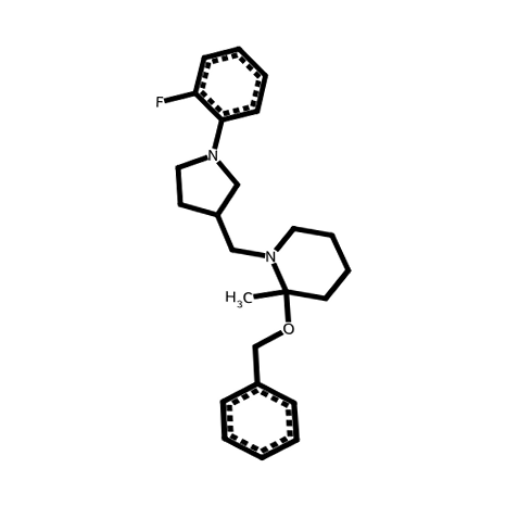 CC1(OCc2ccccc2)CCCCN1CC1CCN(c2ccccc2F)C1